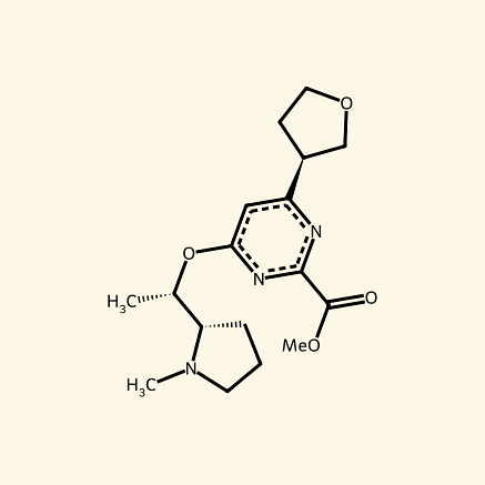 COC(=O)c1nc(O[C@@H](C)[C@@H]2CCCN2C)cc([C@H]2CCOC2)n1